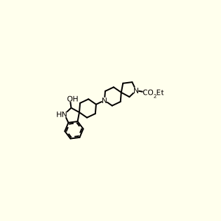 CCOC(=O)N1CCC2(CCN(C3CCC4(CC3)c3ccccc3NC4O)CC2)C1